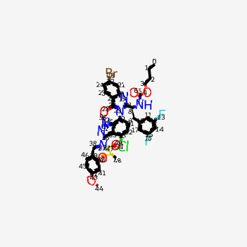 CCCCOC(=O)N[C@@H](Cc1cc(F)cc(F)c1)c1nc2cc(Br)ccc2c(=O)n1-c1ccc(Cl)c2c(N(Cc3ccc(OC)cc3)S(C)(=O)=O)nn(C)c12